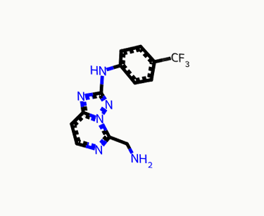 NCc1nccc2nc(Nc3ccc(C(F)(F)F)cc3)nn12